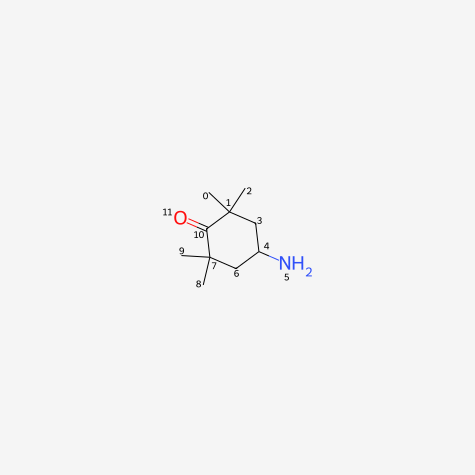 CC1(C)CC(N)CC(C)(C)C1=O